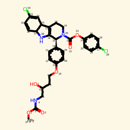 CCCOC(=O)NCC(O)CCOc1ccc([C@H]2C3=C(CCN2C(=O)Oc2ccc(Cl)cc2)C2C=C(Cl)C=CC2N3)cc1